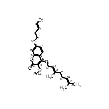 CC/C=C/CCOc1ccc2c(OC/C=C(\C)CCC=C(C)C)c(OC(C)C)c(=O)oc2c1